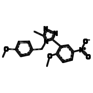 COc1ccc(Cn2c(C)nnc2-c2cc([N+](=O)[O-])ccc2OC)cc1